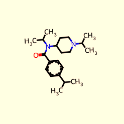 CC(C)c1ccc(C(=O)N(C(C)C)C2CCN(C(C)C)CC2)cc1